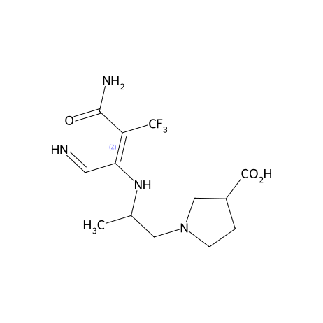 CC(CN1CCC(C(=O)O)C1)N/C(C=N)=C(/C(N)=O)C(F)(F)F